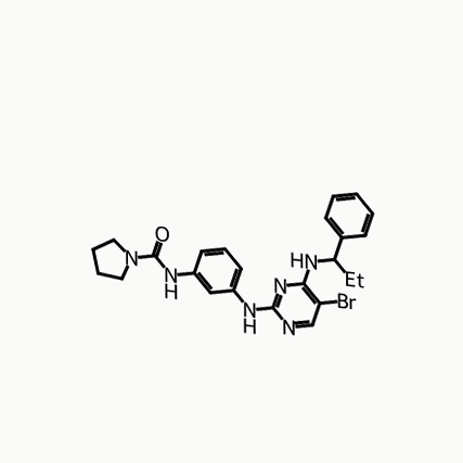 CCC(Nc1nc(Nc2cccc(NC(=O)N3CCCC3)c2)ncc1Br)c1ccccc1